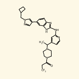 CC(c1ccnc(Nc2nc3ccc(-c4cnn(CC5CCC5)c4)cc3[nH]2)c1)N1CCN(C(=O)CC(F)(F)F)CC1